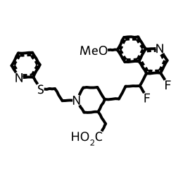 COc1ccc2ncc(F)c(C(F)CCC3CCN(CCSc4ccccn4)CC3CC(=O)O)c2c1